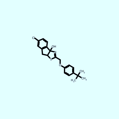 CC(C)(C)c1ccc(OCC2=NC3(O)c4ccc(Cl)cc4CC3S2)cc1